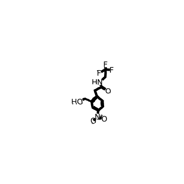 O=C(Cc1ccc([N+](=O)[O-])cc1CO)NCC(F)(F)F